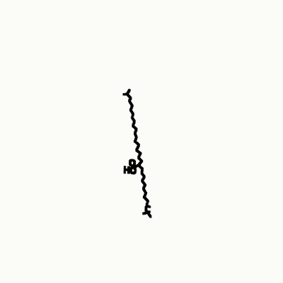 CC(C)CCCCCCCCCCCCCCCCCC(CCCCCCCCCCCC(C)C)C(=O)O